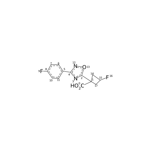 O=C(O)C1(c2nc(-c3ccc(F)cc3)no2)CC(F)C1